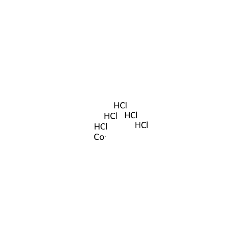 Cl.Cl.Cl.Cl.Cl.[Co]